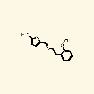 COc1ccccc1CCN=Cc1ccc(C)s1